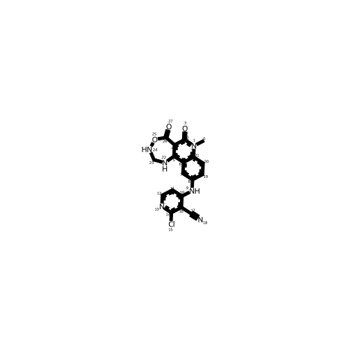 Cn1c(=O)c2c(c3cc(Nc4ccnc(Cl)c4C#N)ccc31)NCNOC2=O